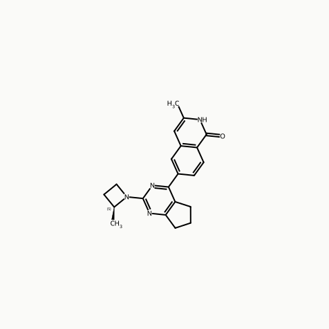 Cc1cc2cc(-c3nc(N4CC[C@@H]4C)nc4c3CCC4)ccc2c(=O)[nH]1